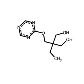 CCC(CO)(CO)COc1ncncn1